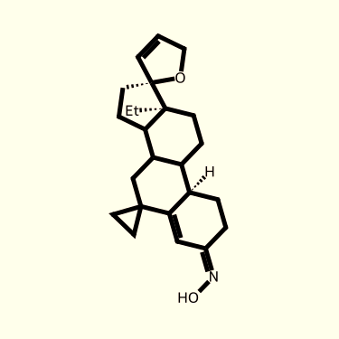 CC[C@]12CCC3C(CC4(CC4)C4=CC(=NO)CC[C@@H]43)C1CC[C@@]21C=CCO1